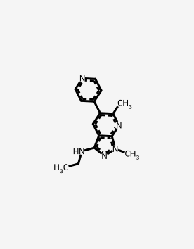 CCNc1nn(C)c2nc(C)c(-c3ccncc3)cc12